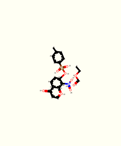 CCOC=O.Cc1ccc(S(=O)(=O)Oc2ccc3c(=O)ccoc3c2[N+](=O)[O-])cc1